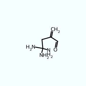 C=C(C=O)CC(N)(N)N